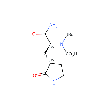 CC(C)(C)N(C(=O)O)[C@@H](C[C@@H]1CCNC1=O)C(N)=O